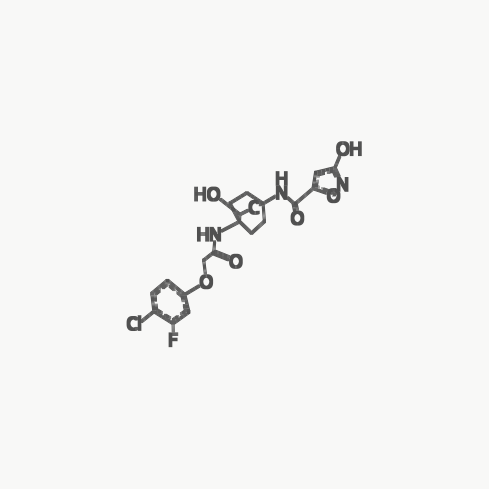 O=C(COc1ccc(Cl)c(F)c1)NC12CCC(NC(=O)c3cc(O)no3)(CC1)CC2O